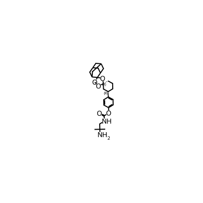 CC(C)(N)CNC(=O)Oc1ccc([C@@H]2CCC[C@]3(C2)OOC2(O3)C3CC4CC(C3)CC2C4)cc1